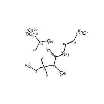 CC(C)(CO)C(O)C(=O)NCCC(=O)[O-].CC(O)C(=O)[O-].[Ca+2]